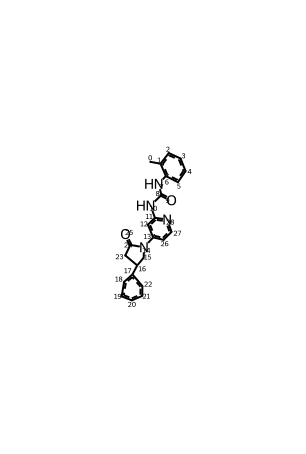 Cc1ccccc1NC(=O)Nc1cc(N2CC(c3ccccc3)CC2=O)ccn1